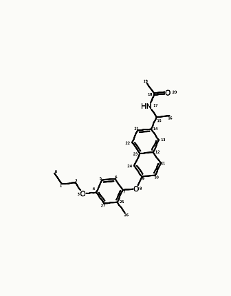 CCCOc1ccc(Oc2ccc3cc(C(C)NC(C)=O)ccc3c2)c(C)c1